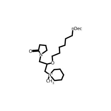 CCCCCCCCCCCCCCCCOC(CN1CCCC1=O)C[N+]1(C)CCCCC1